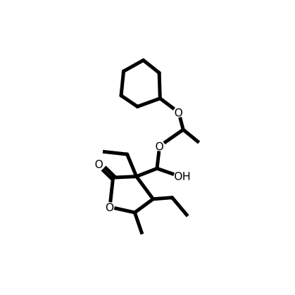 CCC1C(C)OC(=O)C1(CC)C(O)OC(C)OC1CCCCC1